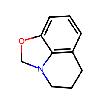 c1cc2c3c(c1)OCN3CCC2